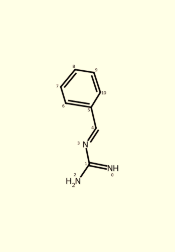 N=C(N)/N=C/c1ccccc1